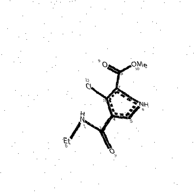 CCNC(=O)c1c[nH]c(C(=O)OC)c1Cl